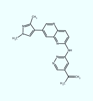 C=C(C)c1cnnc(Nc2ccc3ncc(-c4cn(C)nc4C)cc3n2)c1